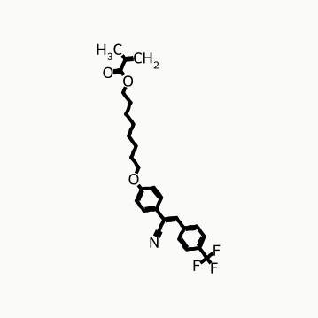 C=C(C)C(=O)OCCCCCCCCOc1ccc(/C(C#N)=C/c2ccc(C(F)(F)F)cc2)cc1